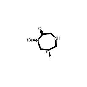 CC(C)(C)N1C[C@H](F)CNCC1=O